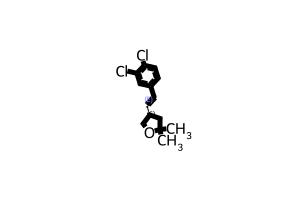 CC1(C)C[C@@H](/C=C/c2ccc(Cl)c(Cl)c2)CO1